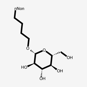 CCCCCCCCCCCCCO[C@@H]1O[C@H](CO)[C@@H](O)[C@H](O)[C@H]1O